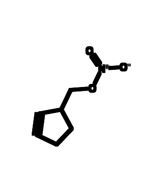 O=[N+]([O-])OCC1C#CCC1